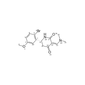 COc1ccc(Br)c([C@H]2CC(=O)/C(=C/N(C)C)C(=O)N2)c1